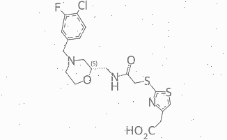 O=C(O)Cc1csc(SCC(=O)NC[C@H]2CN(Cc3ccc(Cl)c(F)c3)CCO2)n1